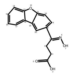 O=C(O)CC/C(=N\O)c1ccc2oc3ccccc3c2c1